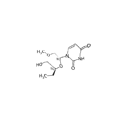 CC[C@@H](CO)O[C@H](COC)n1ccc(=O)[nH]c1=O